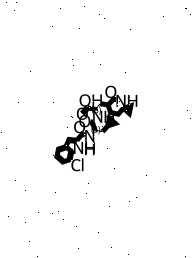 O=C(N[C@@H](CC1CC1)C(=O)N[C@@H](CC1CCC2(CC2)NC1=O)C(=O)O)c1cc2cccc(Cl)c2[nH]1